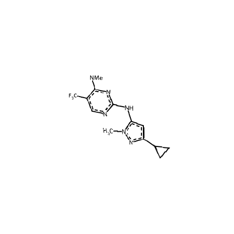 CNc1nc(Nc2cc(C3CC3)nn2C)ncc1C(F)(F)F